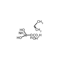 C=CC.N.O=C(O)O.OB(O)O